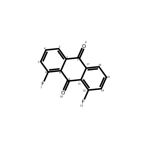 O=C1c2cccc(F)c2C(=O)c2c(F)cccc21